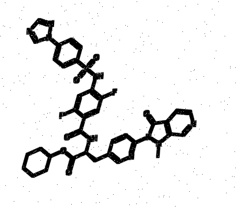 Cn1c2cnccc2c(=O)n1-c1ccc(C[C@H](NC(=O)c2cc(F)c(NS(=O)(=O)c3ccc(-n4cncn4)cc3)cc2F)C(=O)OC2CCCCC2)cn1